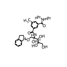 CCCN(CCC)C(=O)c1cc(C)cc(C(=O)N[C@](O)(CON2CCc3ccccc32)[C@@H](O)[C@H](O)CO)c1